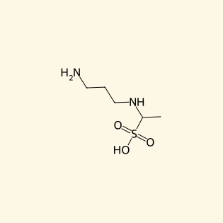 CC(NCCCN)S(=O)(=O)O